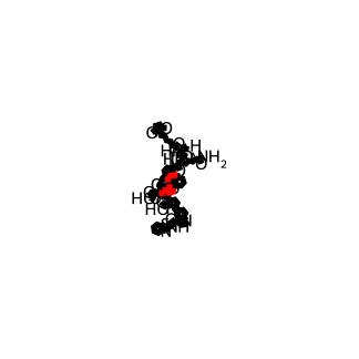 Cc1c(-c2ccc(-c3ccc4nccc(C(=O)Nc5nc6ccccc6s5)c4c3)nc2C(=O)O)cnn1CC12CC(C)(CC3(C)CCCC(OCCN(CCS(=O)(=O)O)C(=O)OCc4ccc(NC(=O)C(CCCNC(N)=O)NC(=O)C(NC(=O)CCCCCN5C(=O)C=CC5=O)C(C)C)cc4)(C3)C1)C2